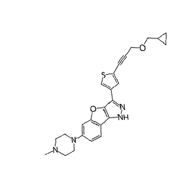 CN1CCN(c2ccc3c(c2)oc2c(-c4csc(C#CCOCC5CC5)c4)n[nH]c23)CC1